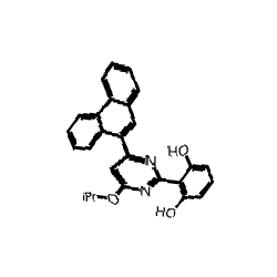 CC(C)Oc1cc(-c2cc3ccccc3c3ccccc23)nc(-c2c(O)cccc2O)n1